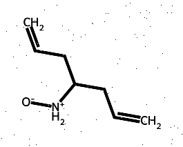 C=CCC(CC=C)[NH2+][O-]